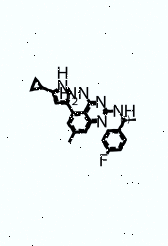 Cc1cc(-c2cc(C3CC3)[nH]n2)c2c(N)nc(N[C@@H](C)c3ccc(F)cc3)nc2c1